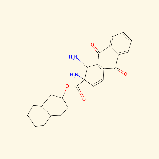 NC1C2=C(C=CC1(N)C(=O)OC1CCC3CCCCC3C1)C(=O)c1ccccc1C2=O